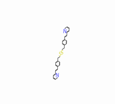 C(=C\c1ccccn1)/c1ccc(CCSSCCc2ccc(/C=C/c3ccccn3)cc2)cc1